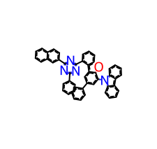 c1ccc(-c2cc(-n3c4ccccc4c4ccccc43)c3oc4cccc(-c5nc(-c6ccccc6)nc(-c6ccc7ccccc7c6)n5)c4c3c2)cc1